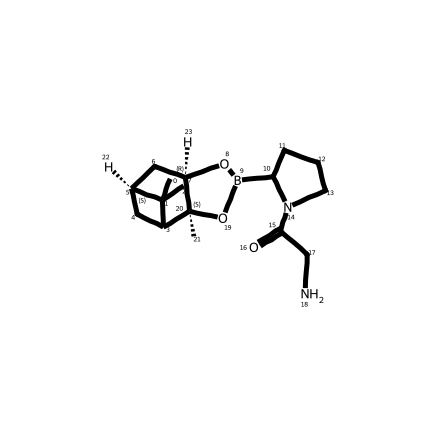 CC1(C)C2C[C@H]1C[C@H]1OB(C3CCCN3C(=O)CN)O[C@@]21C